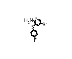 Nc1ncc(Br)cc1Sc1ccc(F)cc1